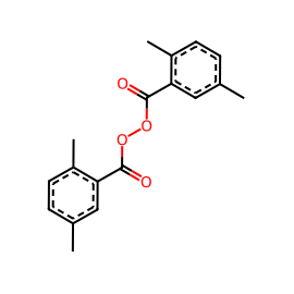 Cc1ccc(C)c(C(=O)OOC(=O)c2cc(C)ccc2C)c1